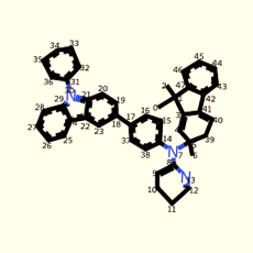 CC1(C)C2=CC(C)(N(C3=CCCC=N3)c3ccc(-c4ccc5c(c4)c4ccccc4n5-c4ccccc4)cc3)CC=C2c2ccccc21